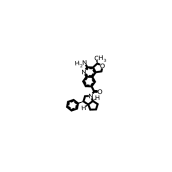 C[C@H]1OCc2c1c(N)nc1ccc(C(=O)N3C[C@H](c4ccccc4)[C@H]4CCC[C@@H]43)cc21